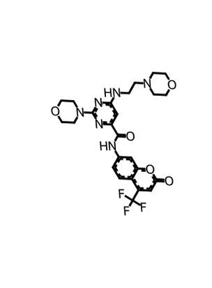 O=C(Nc1ccc2c(C(F)(F)F)cc(=O)oc2c1)c1cc(NCCN2CCOCC2)nc(N2CCOCC2)n1